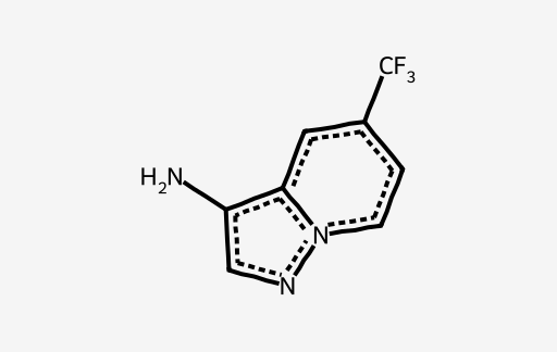 Nc1cnn2ccc(C(F)(F)F)cc12